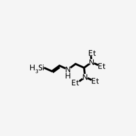 CCN(CC)C(CNC=C[SiH3])N(CC)CC